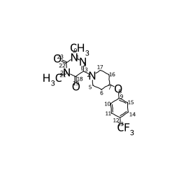 Cn1nc(N2CCC(Oc3ccc(C(F)(F)F)cc3)CC2)c(=O)n(C)c1=O